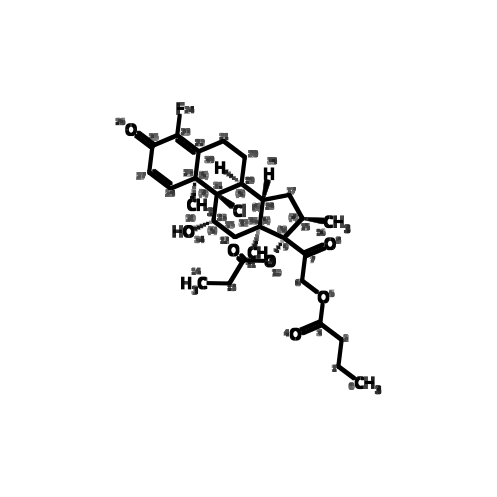 CCCC(=O)OCC(=O)[C@]1(OC(=O)CC)[C@H](C)C[C@H]2[C@@H]3CCC4=C(F)C(=O)C=C[C@]4(C)[C@@]3(Cl)[C@@H](O)C[C@@]21C